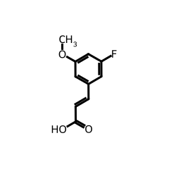 COc1cc(F)cc(C=CC(=O)O)c1